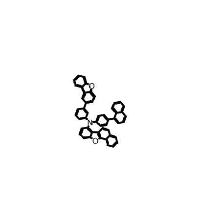 c1cc(-c2ccc3oc4ccccc4c3c2)cc(N(c2ccc(-c3cccc4ccccc34)cc2)c2cccc3oc4c5ccccc5ccc4c23)c1